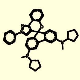 CN(c1ccc2c(c1)-c1cc(N(C)C3CCCC3)ccc1C21Oc2ccccc2-c2nn(-c3ccccc3)cc21)C1CCCC1